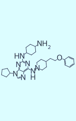 NC1CCC(Nc2nc(NN3CCC(CCOc4ccccc4)CC3)c3ncn(C4CCCC4)c3n2)CC1